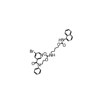 O=C(NCCCCOC(=O)Nc1cccc2ccccc12)OCCN(C(=O)c1cncc(Br)c1)c1ccccc1